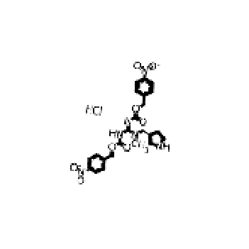 CN(C[C@H]1CCNC1)/C(=N\C(=O)OCc1ccc([N+](=O)[O-])cc1)NC(=O)OCc1ccc([N+](=O)[O-])cc1.Cl